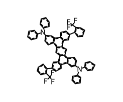 FC(F)(F)c1ccccc1-c1ccc2c(c1)c1cc3c4ccc(N(c5ccccc5)c5ccccc5)cc4c4ccc(-c5ccccc5C(F)(F)F)cc4c3cc1c1ccc(N(c3ccccc3)c3ccccc3)cc21